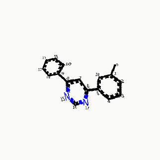 Cc1cccc(-c2cc(-c3ccccc3)ncn2)c1